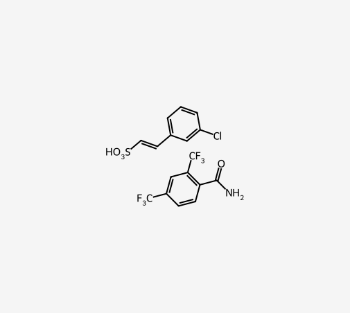 NC(=O)c1ccc(C(F)(F)F)cc1C(F)(F)F.O=S(=O)(O)/C=C/c1cccc(Cl)c1